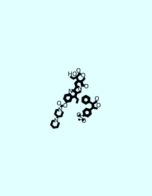 CCc1c2c(nc3ccc(OC(=O)N4CCC(N5CCCCC5)CC4)cc13)-c1cc3c(c(=O)n1C2)COC(=O)[C@]3(O)CC.CS(=O)(=O)c1ccc(C2=C(c3ccccc3)C(=O)OC2)cc1